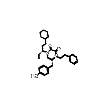 CC[C@@H](CCC1CCCCC1)N1C[C@H](Cc2ccc(O)cc2)N(CCc2ccccc2)C(=O)C1=O